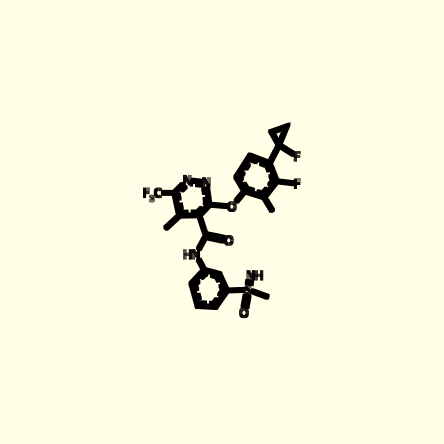 Cc1c(Oc2nnc(C(F)(F)F)c(C)c2C(=O)Nc2cccc(S(C)(=N)=O)c2)ccc(C2(F)CC2)c1F